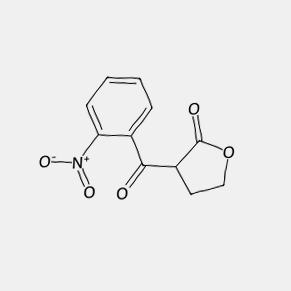 O=C1OCCC1C(=O)c1ccccc1[N+](=O)[O-]